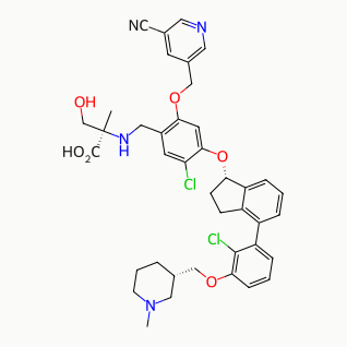 CN1CCC[C@H](COc2cccc(-c3cccc4c3CC[C@@H]4Oc3cc(OCc4cncc(C#N)c4)c(CN[C@](C)(CO)C(=O)O)cc3Cl)c2Cl)C1